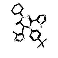 Cc1nnsc1C(C(=O)NC1CCCCC1)N(C(=O)c1cnc[nH]1)c1ccc(C(C)(C)C)cc1